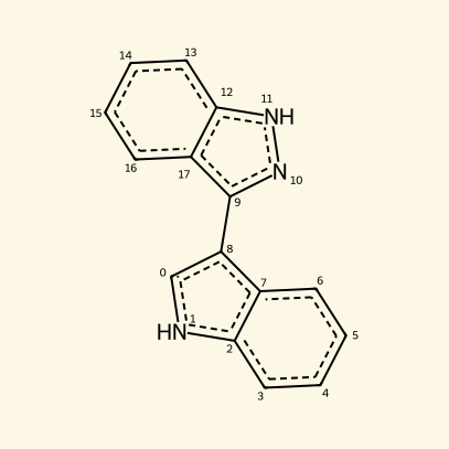 [c]1[nH]c2ccccc2c1-c1n[nH]c2ccccc12